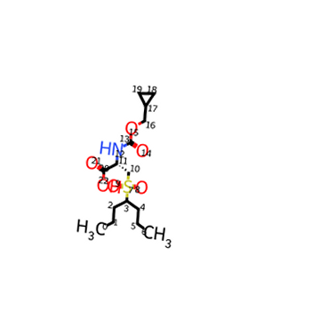 CCCC(CCC)S(=O)(=O)C[C@@H](NC(=O)OCC1CC1)C(=O)O